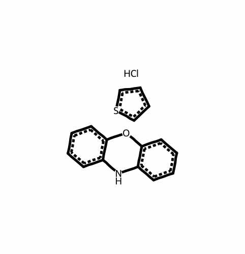 Cl.c1ccc2c(c1)Nc1ccccc1O2.c1ccsc1